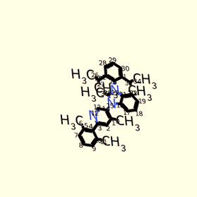 Cc1cc(-c2c(C)cccc2C)ncc1N1c2ccccc2N(c2c(C(C)C)cccc2C(C)C)[C@H]1C